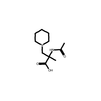 CC(=O)NC(C)(CN1CCCCC1)C(=O)O